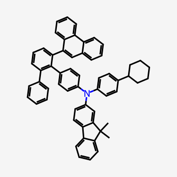 CC1(C)c2ccccc2-c2ccc(N(c3ccc(-c4c(-c5ccccc5)cccc4-c4cc5ccccc5c5ccccc45)cc3)c3ccc(C4CCCCC4)cc3)cc21